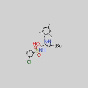 Cc1cc(C)c(Cn2nc(C(C)(C)C)cc2C(O)NS(=O)(=O)c2cccc(Cl)c2)c(C)c1